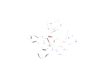 CC(C)(c1ccccc1)c1cc(CP(C2CNCCN2)C2CNCCN2)c(C23CC4CC(CC(C4)C2CP)C3)cc1C(C)(C)c1ccccc1